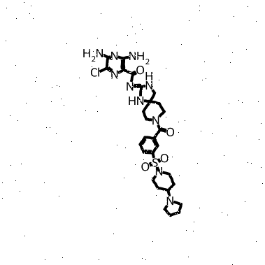 Nc1nc(N)c(C(=O)/N=C2\NCC3(CCN(C(=O)c4cccc(S(=O)(=O)N5CCC(N6CCCC6)CC5)c4)CC3)N2)nc1Cl